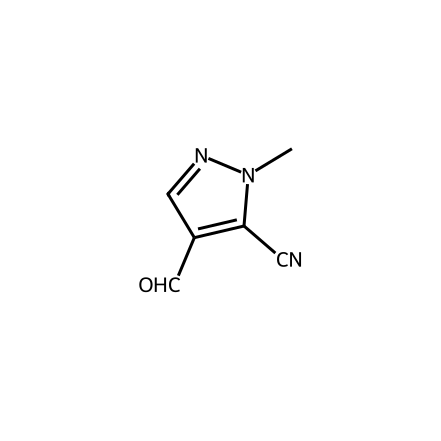 Cn1ncc(C=O)c1C#N